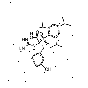 CC(C)c1cc(C(C)C)c(S(=O)(=O)[C@@](Cc2cccc(O)c2)(NC(=N)N)C(=O)O)c(C(C)C)c1